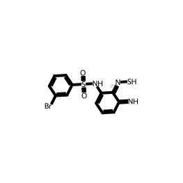 N=C1C=CC=C(NS(=O)(=O)c2cccc(Br)c2)/C1=N/S